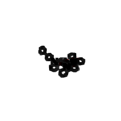 c1ccc(-c2ccc(-n3c4ccccc4c4c(-n5c6ccccc6c6cccc([Si](c7ccccc7)(c7ccccc7)c7ccccc7)c65)c(-c5ccccc5)ccc43)cc2)cc1